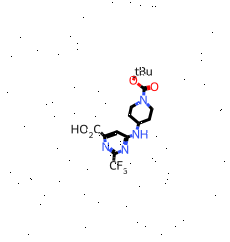 CC(C)(C)OC(=O)N1CCC(Nc2cc(C(=O)O)nc(C(F)(F)F)n2)CC1